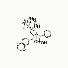 [2H]C1([2H])N(C[C@@H](NC(CO)c2ccccc2)[C@H](O)c2ccc3c(c2)OCCO3)C([2H])([2H])C([2H])([2H])C1([2H])[2H]